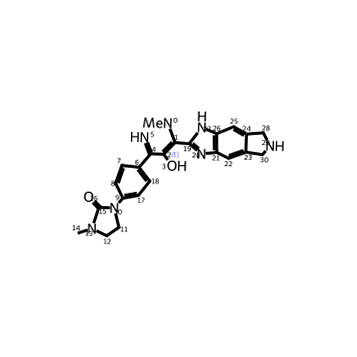 CN/C(=C(/O)C(=N)c1ccc(N2CCN(C)C2=O)cc1)c1nc2cc3c(cc2[nH]1)CNC3